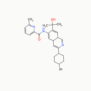 Cc1cccc(C(=O)NC2=CC3C=C(C4CCC(C(C)C)CC4)N=CC3C=C2C(C)(C)O)n1